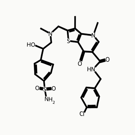 Cc1c(CN(C)CC(O)c2ccc(S(N)(=O)=O)cc2)sc2c(=O)c(C(=O)NCc3ccc(Cl)cc3)cn(C)c12